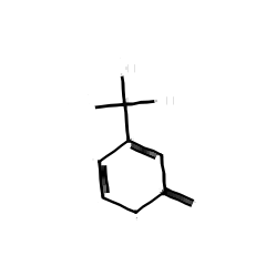 CC(O)(C=O)C1=CC(=S)CC=C1